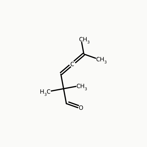 CC(C)=C=CC(C)(C)C=O